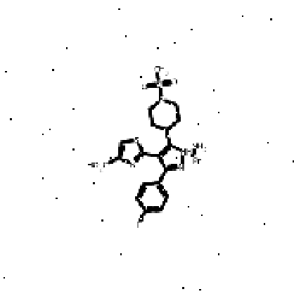 CC(C)N.CS(=O)(=O)N1CCC(c2[nH]nc(-c3ccc(F)cc3)c2-c2nc(C(=O)O)cs2)CC1